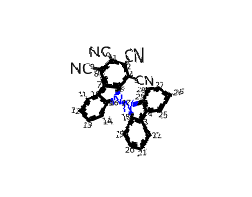 N#Cc1c(C#N)c(C#N)c2c(c1C#N)c1ccccc1n2-n1c2ccccc2c2ccccc21